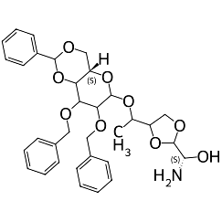 CC(OC1O[C@H]2COC(c3ccccc3)OC2C(OCc2ccccc2)C1OCc1ccccc1)C1COC([C@@H](N)O)O1